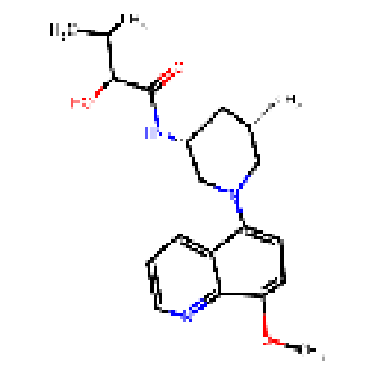 COc1ccc(N2C[C@@H](C)C[C@@H](NC(=O)C(O)C(C)C)C2)c2cccnc12